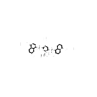 Cc1cc(N=Nc2c(S(=O)(=O)O)ccc3c(S(=O)(=O)O)cccc23)c(C)cc1N=Nc1ccc(N)c2ccc(S(=O)(=O)O)cc12